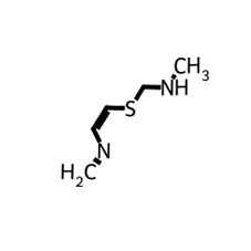 C=N/C=C\SCNC